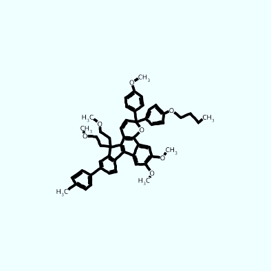 CCCCOc1ccc(C2(c3ccc(OC)cc3)C=Cc3c4c(c5cc(OC)c(OC)cc5c3O2)-c2ccc(-c3ccc(C)cc3)cc2C4(CCOC)CCOC)cc1